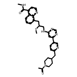 CNC(=O)c1ccnc2c(CC(CNc3cc(-c4ccc(CC5CCN(C(C)=O)CC5)nc4)ncn3)SC)cccc12